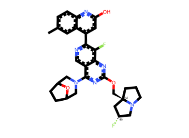 Cc1ccc2nc(O)cc(-c3ncc4c(N5CC6CCC(C5)O6)nc(OC[C@@]56CCCN5C[C@H](F)C6)nc4c3F)c2c1